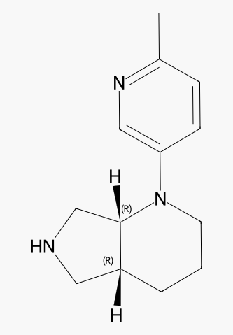 Cc1ccc(N2CCC[C@@H]3CNC[C@@H]32)cn1